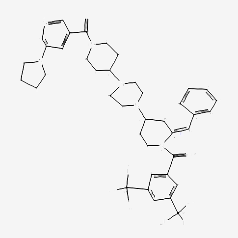 O=C(c1cncc(N2CCCC2)c1)N1CCC(N2CCN(C3CCN(C(=O)c4cc(C(F)(F)F)cc(C(F)(F)F)c4)/C(=C/c4ccccc4)C3)CC2)CC1